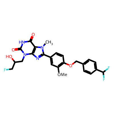 COc1cc(-c2nc3c(c(=O)[nH]c(=O)n3CC(O)CF)n2C)ccc1OCc1ccc(C(F)F)cc1